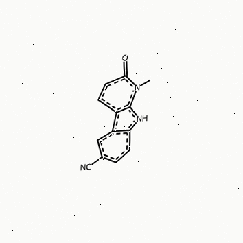 Cn1c(=O)ccc2c3cc(C#N)ccc3[nH]c21